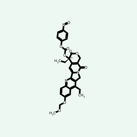 CCc1c2c(nc3ccc(OCOC)cc13)-c1cc3c(c(=O)n1C2)COC(=O)[C@@]3(CC)OC(=O)Oc1ccc(N=O)cc1